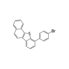 Brc1ccc(-c2cccc3c2sc2c4ccccc4ccc32)cc1